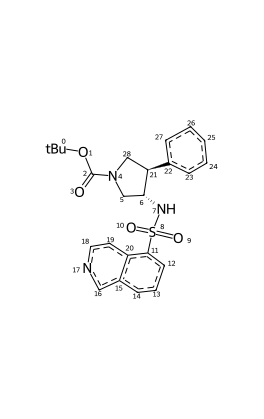 CC(C)(C)OC(=O)N1C[C@@H](NS(=O)(=O)c2cccc3cnccc23)[C@H](c2ccccc2)C1